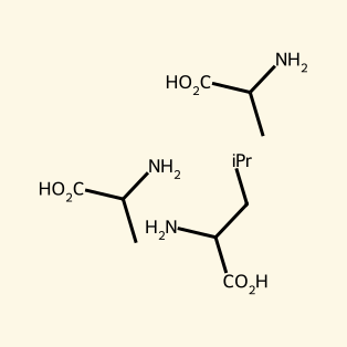 CC(C)CC(N)C(=O)O.CC(N)C(=O)O.CC(N)C(=O)O